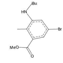 CCC(C)Nc1cc(Br)cc(C(=O)OC)c1C